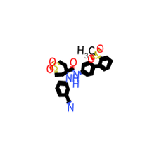 CS(=O)(=O)c1ccccc1-c1ccc(NC(=O)C2(Nc3cccc(C#N)c3)CCS(=O)(=O)CC2)cc1